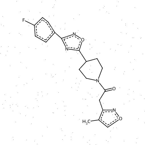 Cc1conc1CC(=O)N1CCC(c2nc(-c3ccc(F)cc3)no2)CC1